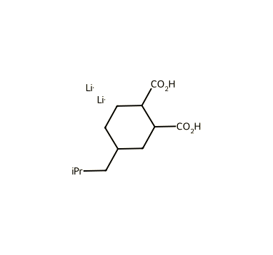 CC(C)CC1CCC(C(=O)O)C(C(=O)O)C1.[Li].[Li]